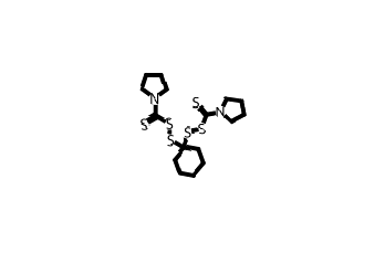 S=C(SSC1(SSC(=S)N2CCCC2)CCCCC1)N1CCCC1